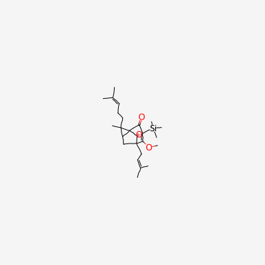 COC1=C([Si](C)(C)C)C(=O)C23C(=O)C1(CC=C(C)C)CC2C3(C)CCC=C(C)C